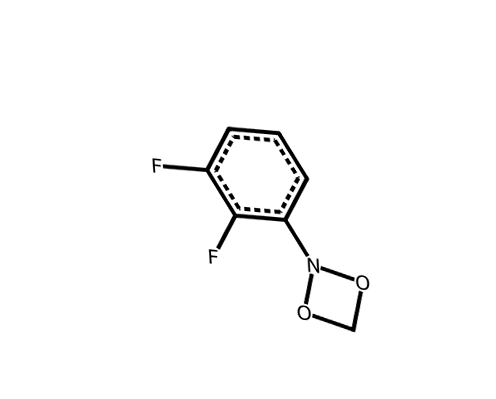 Fc1cccc(N2OCO2)c1F